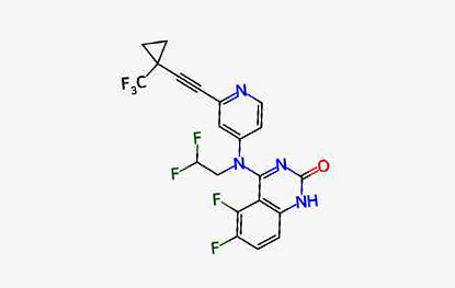 O=c1nc(N(CC(F)F)c2ccnc(C#CC3(C(F)(F)F)CC3)c2)c2c(F)c(F)ccc2[nH]1